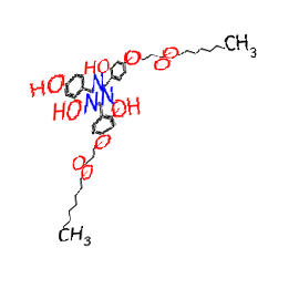 CCCCCCCCOC(=O)CCOc1ccc(-c2nc(-c3ccc(O)cc3O)nc(-c3ccc(OCCC(=O)OCCCCCCCC)cc3O)n2)c(O)c1